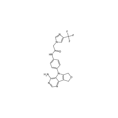 Nc1ncnc2c3c(n(-c4ccc(NC(=O)Cn5cnc(C(F)(F)F)c5)cc4)c12)COC3